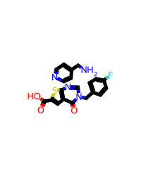 NCc1ccncc1.O=C(O)c1cc2c(=O)n(Cc3ccc(F)cc3)cnc2s1